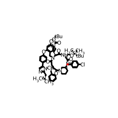 CN(C)Cc1ncc(-c2ccc(Oc3cc(Cl)ccc3CN3C(=O)C[C@@H](Cc4ccccc4)C(=O)N4CCC[C@@](Cc5ccc(Cl)cc5)(C4)NC(=O)[C@H](CO[Si](C)(C)C(C)(C)C)NC(=O)[C@@H]3CCNC(=O)OC(C)(C)C)cc2)n1C